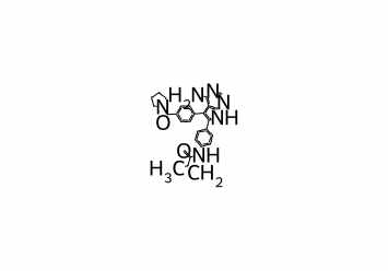 C=C(C)C(=O)Nc1ccc(-c2[nH]c3ncnc(N)c3c2-c2ccc(C(=O)N3CCCC3)cc2)cc1